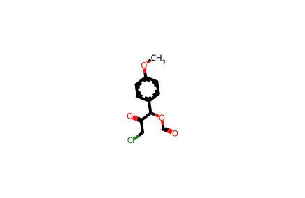 COc1ccc(C(O[C]=O)C(=O)CCl)cc1